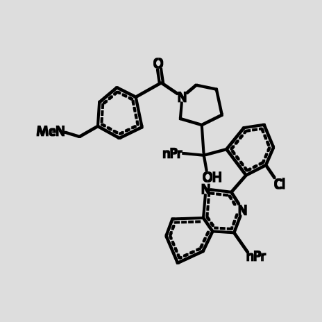 [CH2]CCC(O)(c1cccc(Cl)c1-c1nc(CCC)c2ccccc2n1)C1CCCN(C(=O)c2ccc(CNC)cc2)C1